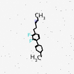 C=CC1CC=C(c2ccc(CC/C=C/C)c(F)c2F)CC1